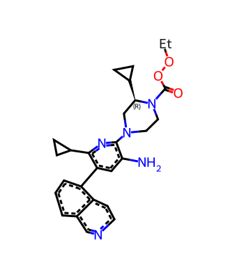 CCOOC(=O)N1CCN(c2nc(C3CC3)c(-c3cccc4cnccc34)cc2N)C[C@H]1C1CC1